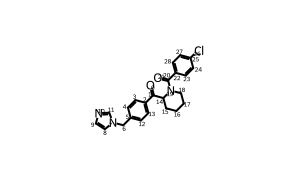 O=C(c1ccc(Cn2ccnc2)cc1)C1CCCCN1C(=O)c1ccc(Cl)cc1